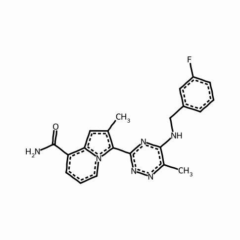 Cc1cc2c(C(N)=O)cccn2c1-c1nnc(C)c(NCc2cccc(F)c2)n1